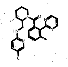 Cc1cccc(C(=O)N2CCC[C@@H](C)C2CNc2ccc(Cl)cn2)c1-c1ncccn1